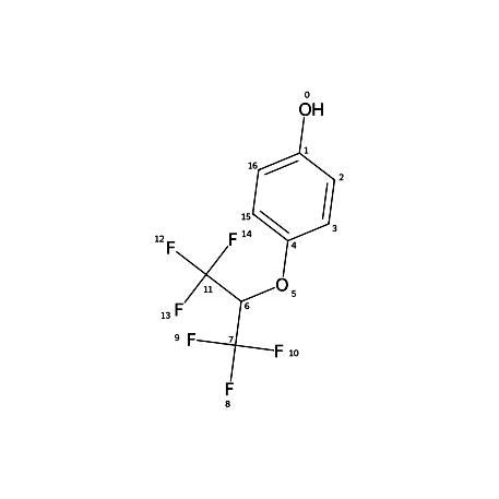 Oc1ccc(OC(C(F)(F)F)C(F)(F)F)cc1